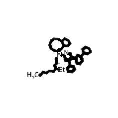 C=CCCCC/C(=C/C=C/N(/C1=C/C2CCC=CC2C/C=C\C=C/C1)c1cc(-c2ccccc2)c(-c2cccc(C3=CCCC=C3)c2)cn1)CC